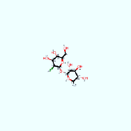 CCC1O[C@H](O[C@H]2OC(CO)[C@@H](O)[C@H](O)C2F)[C@H](O)C(O)[C@@H]1O